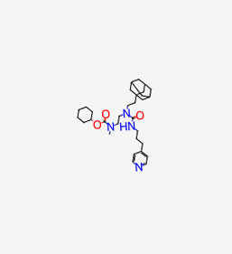 CN(CCN(CCC12CC3CC(CC(C3)C1)C2)C(=O)NCCCc1ccncc1)C(=O)OC1CCCCC1